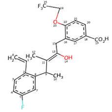 C=Cc1ccc(F)cc1C(C)C(C)=C(O)Cc1cc(C(=O)O)ccc1OCC(F)(F)F